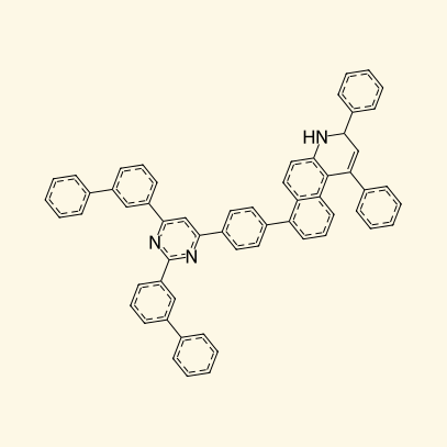 C1=C(c2ccccc2)c2c(ccc3c(-c4ccc(-c5cc(-c6cccc(-c7ccccc7)c6)nc(-c6cccc(-c7ccccc7)c6)n5)cc4)cccc23)NC1c1ccccc1